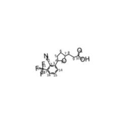 N#Cc1c(C2CCC(CCC(=O)O)O2)cccc1C(F)(F)F